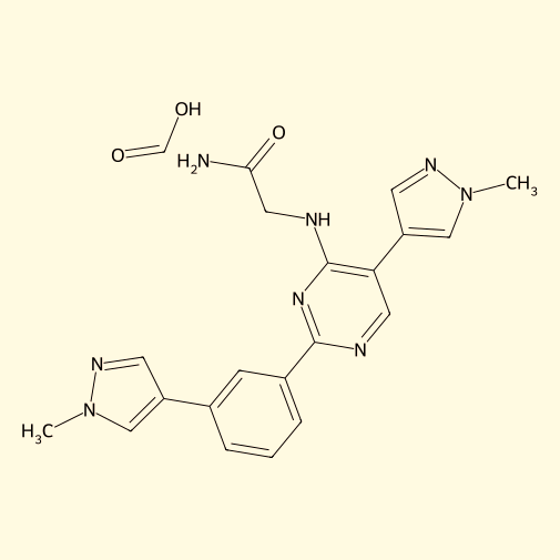 Cn1cc(-c2cccc(-c3ncc(-c4cnn(C)c4)c(NCC(N)=O)n3)c2)cn1.O=CO